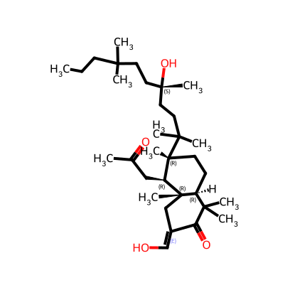 CCCC(C)(C)CC[C@](C)(O)CCC(C)(C)[C@]1(C)CC[C@H]2C(C)(C)C(=O)/C(=C/O)C[C@]2(C)[C@H]1CC(C)=O